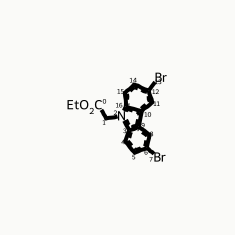 CCOC(=O)Cn1c2ccc(Br)cc2c2cc(Br)ccc21